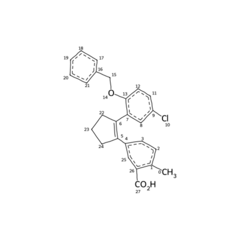 Cc1ccc(C2=C(c3cc(Cl)ccc3OCc3ccccc3)CCC2)cc1C(=O)O